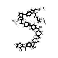 COCc1nc2cc(-c3ccnc4c3cc([C@H](C)N3CCC(c5ccc(C(=O)N6CCC(CN7CCN(c8ccc(NC9CCC(=O)NC9=O)cc8C(F)(F)F)CC7)CC6)cc5)CC3)n4C)ccc2n1COCC[Si](C)(C)C